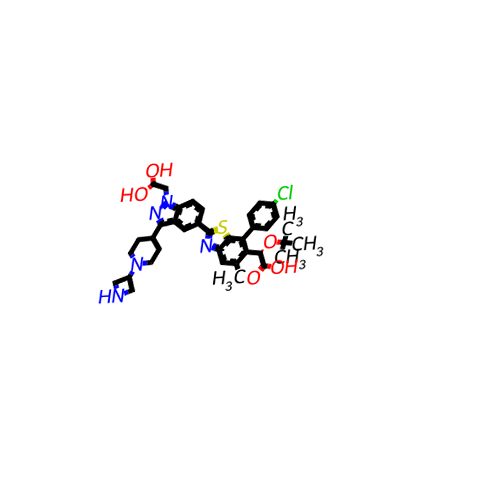 Cc1cc2nc(-c3ccc4c(c3)c(C3CCN(C5CNC5)CC3)nn4CC(O)O)sc2c(-c2ccc(Cl)cc2)c1[C@H](OC(C)(C)C)C(=O)O